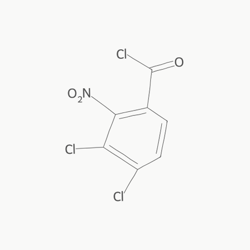 O=C(Cl)c1ccc(Cl)c(Cl)c1[N+](=O)[O-]